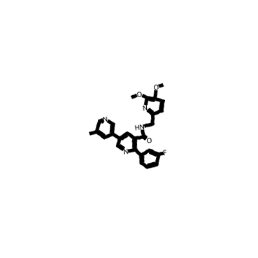 COc1ccc(CNC(=O)c2cc(-c3cncc(C)c3)cnc2-c2cccc(F)c2)nc1OC